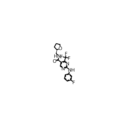 O=C(NC[C@H]1CCCO1)c1cnc(Nc2cccc(F)c2)nc1C(F)(F)F